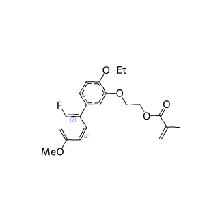 C=C(/C=C\C(=C\F)c1ccc(OCC)c(OCCOC(=O)C(=C)C)c1)OC